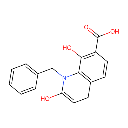 O=C(O)c1ccc2c(c1O)N(Cc1ccccc1)C(O)=CC2